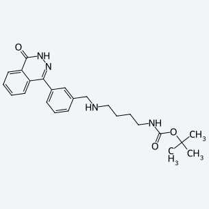 CC(C)(C)OC(=O)NCCCCNCc1cccc(-c2n[nH]c(=O)c3ccccc23)c1